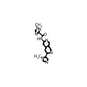 Cn1cnc(C(=O)Nc2cc3cc(-c4cncn4C)ncc3cn2)n1